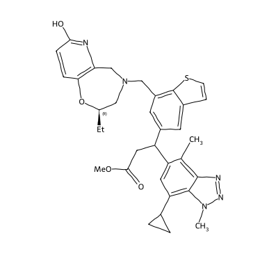 CC[C@@H]1CN(Cc2cc(C(CC(=O)OC)c3cc(C4CC4)c4c(nnn4C)c3C)cc3ccsc23)Cc2nc(O)ccc2O1